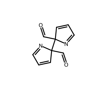 O=CC1(C2(C=O)C=CC=N2)C=CC=N1